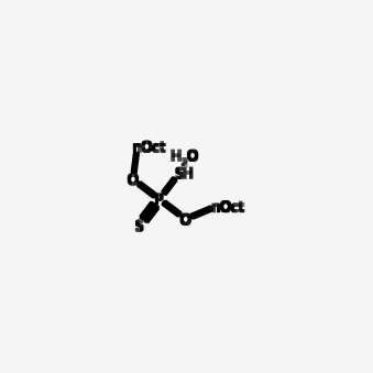 CCCCCCCCOP(=S)(S)OCCCCCCCC.O